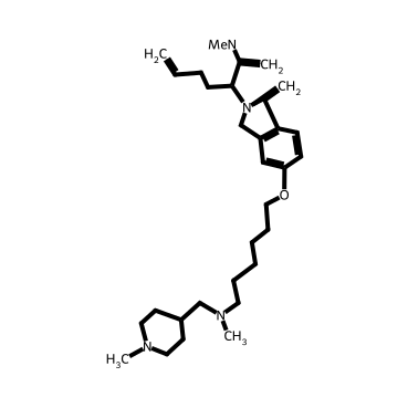 C=CCCC(C(=C)NC)N1Cc2cc(OCCCCCCN(C)CC3CCN(C)CC3)ccc2C1=C